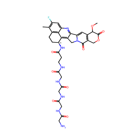 COC1C(=O)OCc2c1cc1n(c2=O)Cc2c-1nc1cc(F)c(C)c3c1c2[C@@H](NC(=O)CCNC(=O)CNC(=O)CNC(=O)CNC(=O)CN)CC3